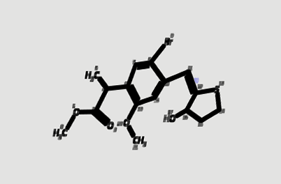 COC(=O)C(C)c1cc(Br)c(/C=C2/SCCC2O)cc1OC